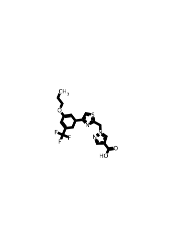 CCCOC1=CC(c2csc(Cn3cc(C(=O)O)cn3)n2)CC(C(F)(F)F)=C1